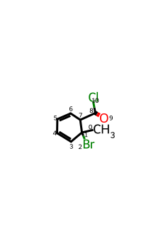 CC1(Br)C=CC=CC1C(=O)Cl